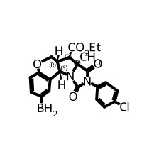 Bc1ccc2c(c1)[C@@H]1[C@H](CO2)[C@@H](C(=O)OCC)[C@]2(C)C(=O)N(c3ccc(Cl)cc3)C(=O)N12